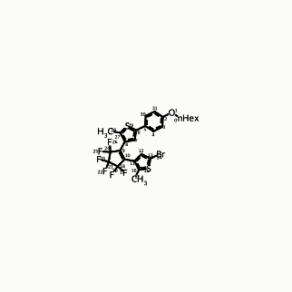 CCCCCCOc1ccc(-c2cc(C3=C(c4cc(Br)sc4C)C(F)(F)C(F)(F)C3(F)F)c(C)s2)cc1